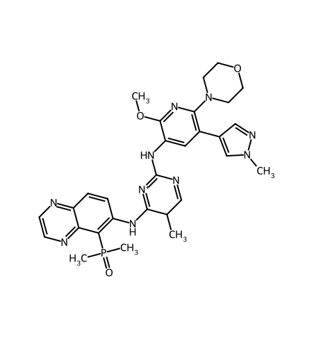 COc1nc(N2CCOCC2)c(-c2cnn(C)c2)cc1NC1=[N+]=C(Nc2ccc3nccnc3c2P(C)(C)=O)C(C)C=N1